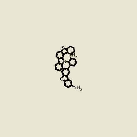 Nc1ccc2oc3ccc(-c4cccc(N)c4-n4c5ccccc5c5ccc6sc7c(c6c54)C=CCC7)cc3c2c1